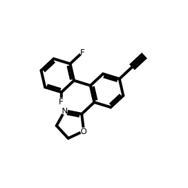 C#Cc1ccc(C2=NCCO2)c(-c2c(F)cccc2F)c1